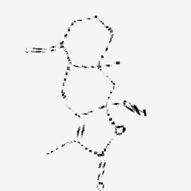 C=C1CCCC2(C)CC3(O)OC(=O)C(C)=C3CC12